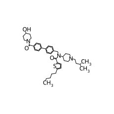 CCCCCc1ccc(C(=O)N(Cc2ccc(-c3ccc(C(=O)N4CCC(O)CC4)cc3)cc2)C2CCN(CCC(C)C)CC2)s1